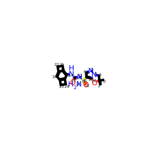 CC1(C)Cn2ncc([S@@](N)(=O)=NC(=O)Nc3c4c(cc5c3CC5)CC4)c2O1